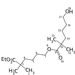 CCOC(=O)C(C)(C)CCCCOC(=O)C(C)(C)CCCCO